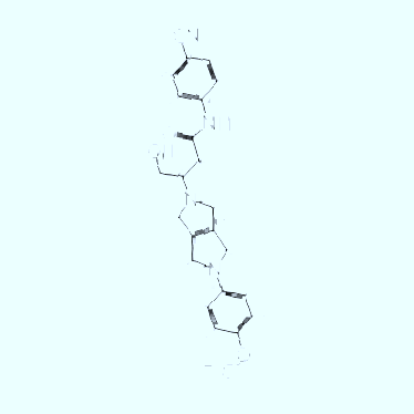 N#Cc1ccc(NC(=O)CC(CO)N2CC3=C(CN(c4ccc(OC(F)(F)F)cc4)C3)C2)cc1